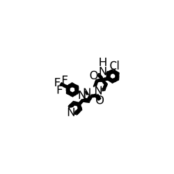 O=C(c1cc(-c2ccncc2)n(-c2ccc(C(F)(F)F)cc2)n1)N1CCC2(CC1)C(=O)Nc1c(Cl)cccc12